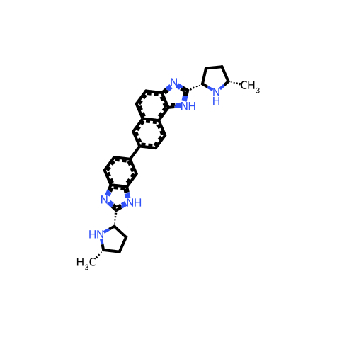 C[C@H]1CC[C@@H](c2nc3ccc(-c4ccc5c(ccc6nc([C@@H]7CC[C@H](C)N7)[nH]c65)c4)cc3[nH]2)N1